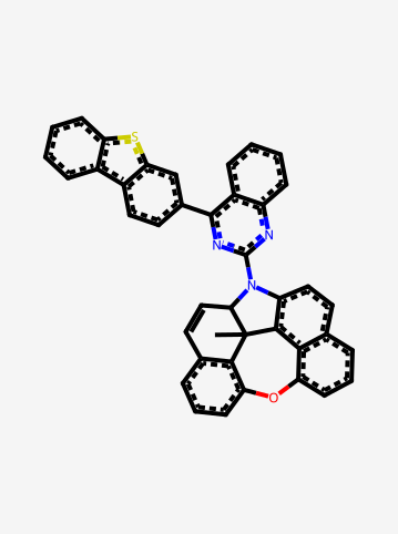 CC12c3c4cccc3Oc3cccc5ccc(c1c35)N(c1nc(-c3ccc5c(c3)sc3ccccc35)c3ccccc3n1)C2C=C4